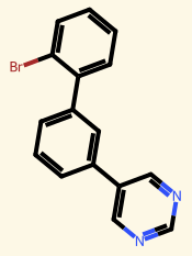 Brc1ccccc1-c1cccc(-c2cncnc2)c1